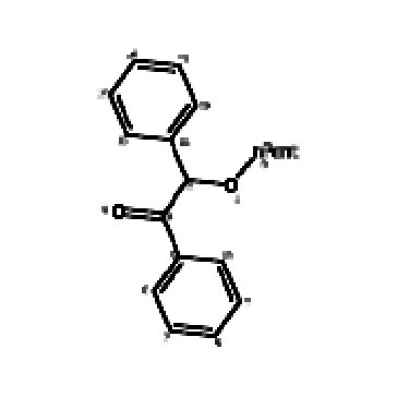 CCCCCOC(C(=O)c1ccccc1)c1ccccc1